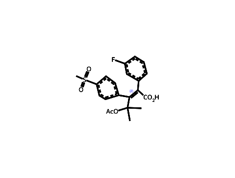 CC(=O)OC(C)(C)/C(=C(\C(=O)O)c1cccc(F)c1)c1ccc(S(C)(=O)=O)cc1